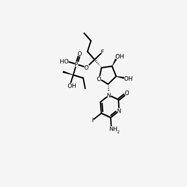 CCCC(F)(OP(=O)(O)[C@@](C)(O)CC)[C@H]1O[C@@H](n2cc(I)c(N)nc2=O)[C@H](O)[C@@H]1O